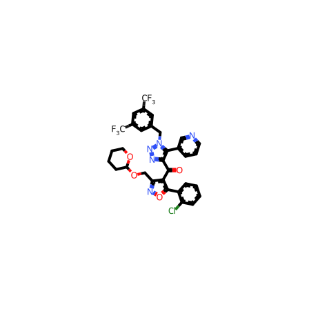 O=C(c1nnn(Cc2cc(C(F)(F)F)cc(C(F)(F)F)c2)c1-c1cccnc1)c1c(COC2CCCCO2)noc1-c1ccccc1Cl